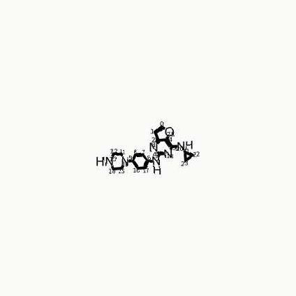 c1cc2nc(Nc3ccc(N4CCNCC4)cc3)nc(NC3CC3)c2o1